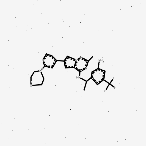 Cc1nc(NC(C)c2cc(N)cc(C(F)(F)F)c2)c2cc(-c3ccnc(N4CCOCC4)c3)cn2n1